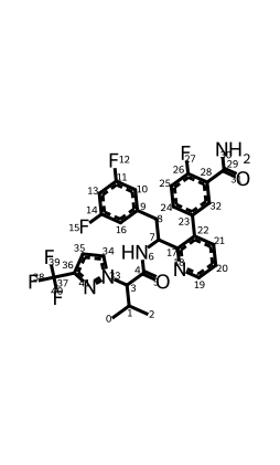 CC(C)C(C(=O)NC(Cc1cc(F)cc(F)c1)c1ncccc1-c1ccc(F)c(C(N)=O)c1)n1ccc(C(F)(F)F)n1